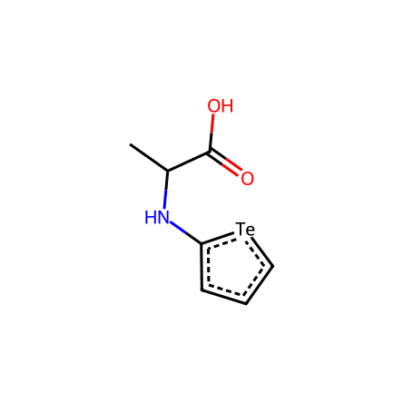 CC(Nc1ccc[te]1)C(=O)O